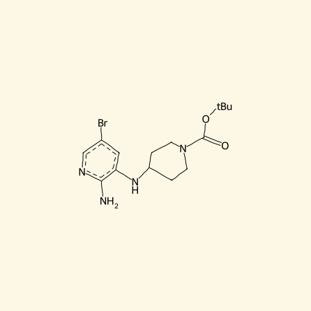 CC(C)(C)OC(=O)N1CCC(Nc2cc(Br)cnc2N)CC1